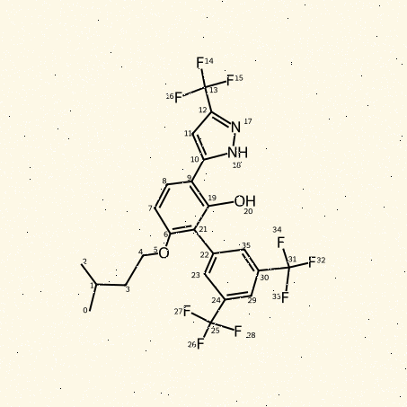 CC(C)CCOc1ccc(-c2cc(C(F)(F)F)n[nH]2)c(O)c1-c1cc(C(F)(F)F)cc(C(F)(F)F)c1